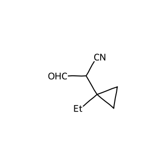 CCC1(C(C#N)C=O)CC1